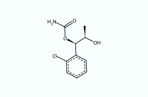 C[C@@H](O)[C@H](OC(N)=O)c1ccccc1Cl